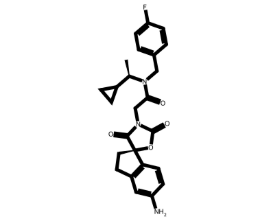 C[C@H](C1CC1)N(Cc1ccc(F)cc1)C(=O)CN1C(=O)O[C@@]2(CCc3cc(N)ccc32)C1=O